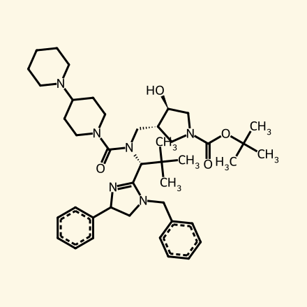 CC(C)(C)OC(=O)N1C[C@H](CN(C(=O)N2CCC(N3CCCCC3)CC2)[C@@H](C2=NC(c3ccccc3)CN2Cc2ccccc2)C(C)(C)C)[C@@H](O)C1